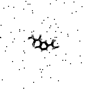 COC(=O)c1ccc(C)c(N(C)C(=O)OC)c1